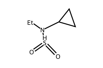 CCN(C1CC1)[SH](=O)=O